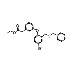 CCOC(=O)Cc1cccc(Oc2ccc(Br)cc2CSCc2ccccc2)c1